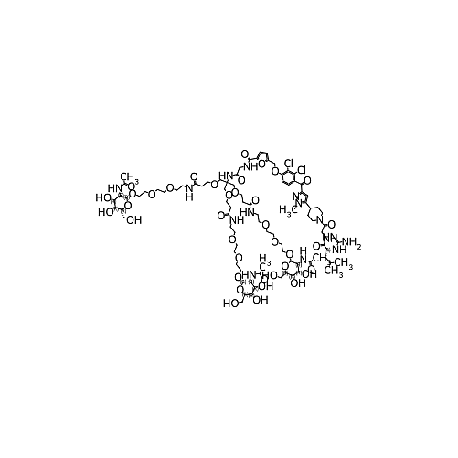 CC(=O)N[C@H]1[C@H](OCCOCCOCCNC(=O)CCOCC(COCCC(=O)NCCOCCOCCOC2O[C@H](CO)[C@H](O)[C@H](O)[C@H]2NC(C)=O)(COCCC(=O)NCCOCCOCCO[C@@H]2O[C@H](CO)[C@H](O)[C@H](O)[C@H]2NC(C)=O)NC(=O)CNC(=O)c2ccc(COc3ccc(C(=O)c4cc(C5CCN(C(=O)CNC(=O)[C@@H](CC(C)C)NC(=N)N)CC5)n(C)n4)c(Cl)c3Cl)o2)O[C@H](CO)[C@H](O)[C@@H]1O